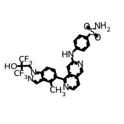 Cc1c(-c2nccc3cnc(Nc4ccc(S(N)(=O)=O)cc4)cc23)ccc2c1cnn2CC(O)(C(F)(F)F)C(F)(F)F